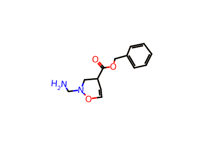 NCN1CC(C(=O)OCc2ccccc2)C=CO1